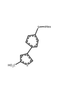 CCCCCCSc1ccc(-c2csc(C(=O)O)c2)cc1